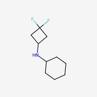 FC1(F)CC(NC2CCCCC2)C1